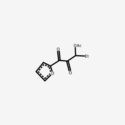 CCC(OC(C)=O)C(=O)C(=O)c1ccco1